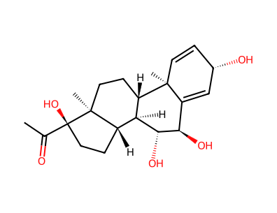 CC(=O)[C@@]1(O)CC[C@H]2[C@@H]3[C@@H](O)[C@H](O)C4=C[C@@H](O)C=C[C@]4(C)[C@H]3CC[C@@]21C